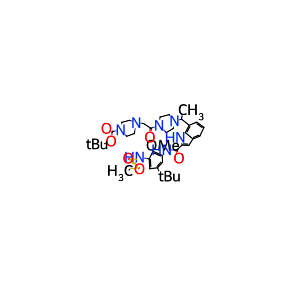 COc1c(NC(=O)c2cc3cccc(C(C)N4CCN(C(=O)CN5CCN(C(=O)OC(C)(C)C)CC5)CC4)c3[nH]2)cc(C(C)(C)C)cc1NS(C)(=O)=O